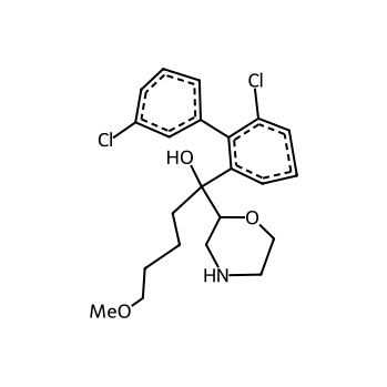 COCCCCC(O)(c1cccc(Cl)c1-c1cccc(Cl)c1)C1CNCCO1